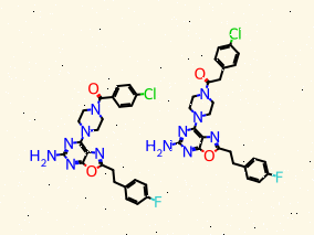 Nc1nc(N2CCN(C(=O)Cc3ccc(Cl)cc3)CC2)c2nc(CCc3ccc(F)cc3)oc2n1.Nc1nc(N2CCN(C(=O)c3ccc(Cl)cc3)CC2)c2nc(CCc3ccc(F)cc3)oc2n1